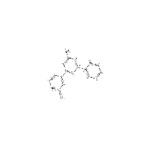 C=C/C=C(\C=C/N)c1cc(C)cc(-c2ccccn2)c1